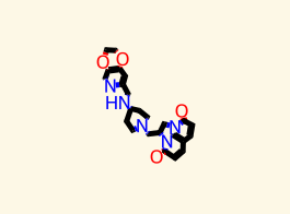 O=c1ccc2ccc(=O)n3c2n1CC3CN1CCC(NCc2cc3c(cn2)OCCO3)CC1